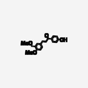 COCc1cc(/C=C/C(=O)c2ccc(O)cc2)ccc1OC